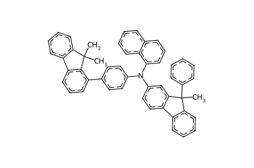 CC1(C)c2ccccc2-c2cccc(-c3ccc(N(c4ccc5c(c4)C(C)(c4ccccc4)c4ccccc4-5)c4cccc5ccccc45)cc3)c21